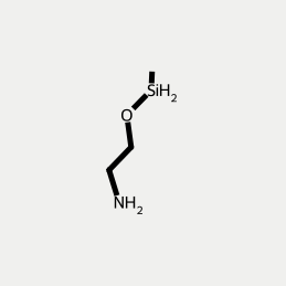 C[SiH2]OCCN